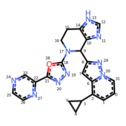 c1cc(C2CC2)c2cc(C3c4nc[nH]c4CCN3c3nnc(-c4cnccn4)o3)nn2c1